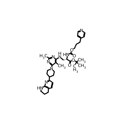 Cc1nc(NC[C@H](NC(=O)OCCCc2ccncc2)C(=O)OC(C)(C)C)c(C)c(N2CCC(c3ccc4c(n3)NCCC4)CC2)n1